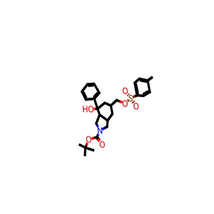 Cc1ccc(S(=O)(=O)OCC2CC3CN(C(=O)OC(C)(C)C)CC3C(O)(c3ccccc3)C2)cc1